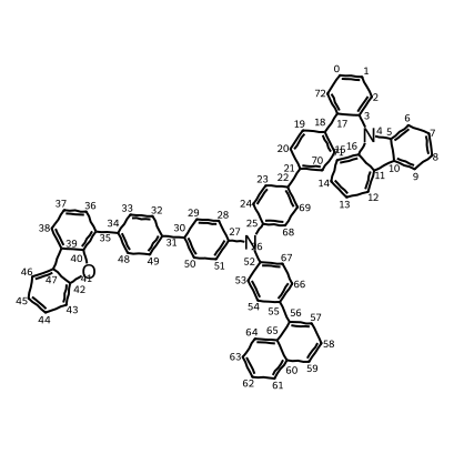 c1ccc(-n2c3ccccc3c3ccccc32)c(-c2ccc(-c3ccc(N(c4ccc(-c5ccc(-c6cccc7c6oc6ccccc67)cc5)cc4)c4ccc(-c5cccc6ccccc56)cc4)cc3)cc2)c1